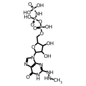 CNNc1nc2c(ncn2C2OC(COP(=O)(O)OP(=O)(O)NP(=O)(O)O)C(O)C2O)c(=O)[nH]1